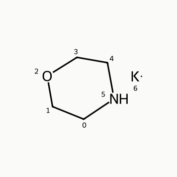 C1COCCN1.[K]